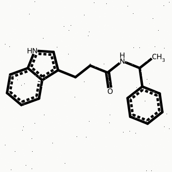 CC(NC(=O)[CH]Cc1c[nH]c2ccccc12)c1ccccc1